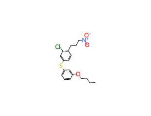 CCCCOc1cccc(Sc2ccc(CCC[N+](=O)[O-])c(Cl)c2)c1